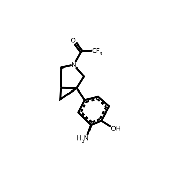 Nc1cc(C23CC2CN(C(=O)C(F)(F)F)C3)ccc1O